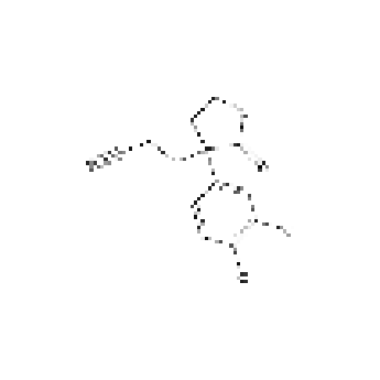 N#CCCC1(c2ccc(Cl)c(Cl)c2)CCOC1=O